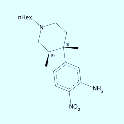 CCCCCCN1CC[C@](C)(c2ccc([N+](=O)[O-])c(N)c2)[C@@H](C)C1